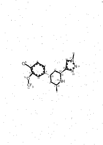 C[C@H]1C[C@H](c2ccc(Cl)c(OC(F)(F)F)c2)C[C@@H](c2cn(C)nn2)N1